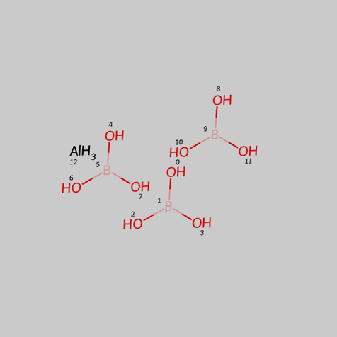 OB(O)O.OB(O)O.OB(O)O.[AlH3]